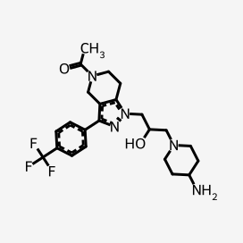 CC(=O)N1CCc2c(c(-c3ccc(C(F)(F)F)cc3)nn2CC(O)CN2CCC(N)CC2)C1